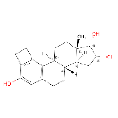 C[C@]12CC[C@@H]3c4c(cc(O)c5c4CC5)CC[C@H]3[C@@H]1C[C@@H](O)[C@H]2O